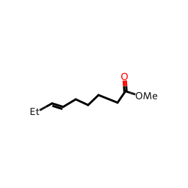 CCC=CCCCCC(=O)OC